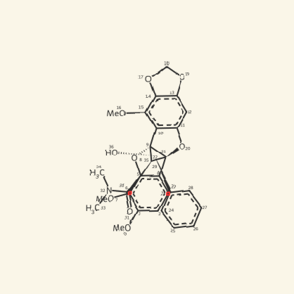 COc1ccc2c(c1OC)O[C@]13c4c(cc5c(c4OC)OCO5)O[C@]21[C@H](c1ccccc1)[C@@H](C(=O)N(C)C)[C@H]3O